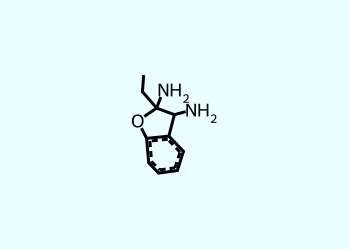 CCC1(N)Oc2ccccc2C1N